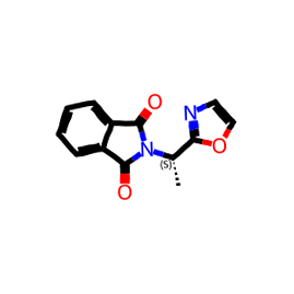 C[C@@H](c1ncco1)N1C(=O)c2ccccc2C1=O